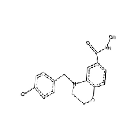 O=C(NO)c1ccc2c(c1)N(Cc1ccc(Cl)cc1)CCO2